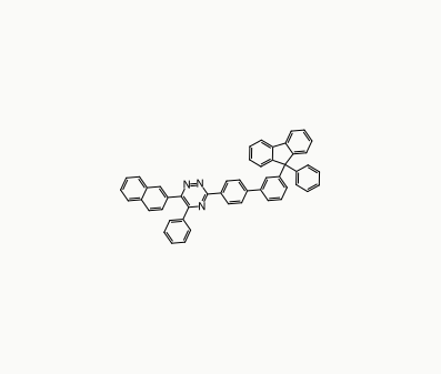 c1ccc(-c2nc(-c3ccc(-c4cccc(C5(c6ccccc6)c6ccccc6-c6ccccc65)c4)cc3)nnc2-c2ccc3ccccc3c2)cc1